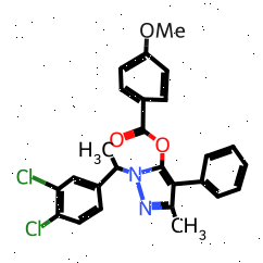 COc1ccc(C(=O)Oc2c(-c3ccccc3)c(C)nn2C(C)c2ccc(Cl)c(Cl)c2)cc1